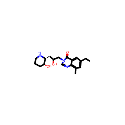 CCc1cc(C)c2ncn(CC(O)C[C@H]3NCCC[C@@H]3O)c(=O)c2c1